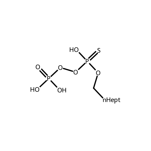 CCCCCCCCOP(O)(=S)OOP(=O)(O)O